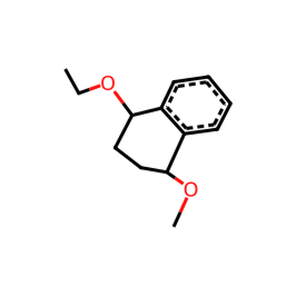 CCOC1CCC(OC)c2ccccc21